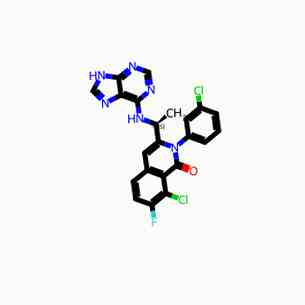 C[C@H](Nc1ncnc2[nH]cnc12)c1cc2ccc(F)c(Cl)c2c(=O)n1-c1cccc(Cl)c1